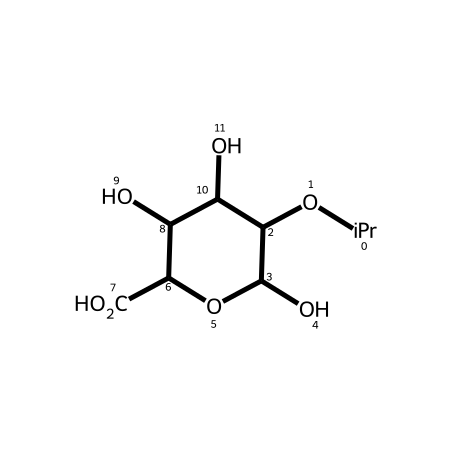 CC(C)OC1C(O)OC(C(=O)O)C(O)C1O